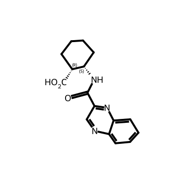 O=C(N[C@H]1CCCC[C@H]1C(=O)O)c1cnc2ccccc2n1